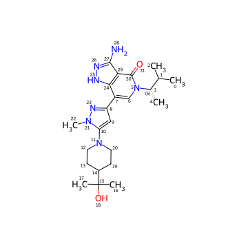 CC(C)[C@H](C)n1cc(-c2cc(N3CCC(C(C)(C)O)CC3)n(C)n2)c2[nH]nc(N)c2c1=O